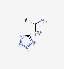 CC(C)[C@H](N)C(=O)O.c1nnn[nH]1